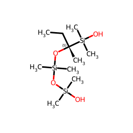 CC[C@@](C)(O[Si](C)(C)O[Si](C)(C)O)[Si](C)(C)O